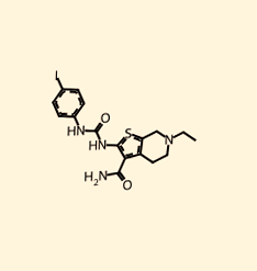 CCN1CCc2c(sc(NC(=O)Nc3ccc(I)cc3)c2C(N)=O)C1